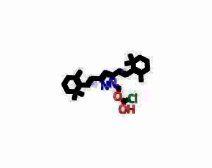 CC1=C(/C=C/c2cc(/C=C/C3=C(C)CCCC3(C)C)n(COC(O)Cl)n2)C(C)(C)CCC1